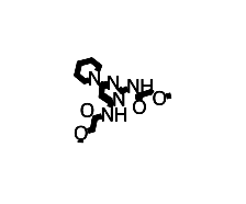 COCC(=O)Nc1cc(N2CCCCC2)nc(NC(=O)COC)n1